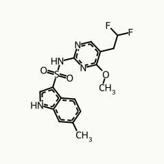 COc1nc(NS(=O)(=O)c2c[nH]c3cc(C)ccc23)ncc1CC(F)F